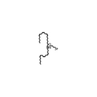 CCCCC/C=C\C/C=C\C/C=C\CCCCCC(CCCCC/C=C\C/C=C\C/C=C\CCCCC)OC(=N)CCCN(C)C